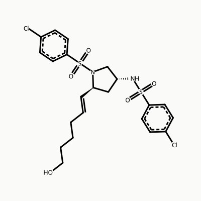 O=S(=O)(N[C@@H]1C[C@@H](C=CCCCCO)N(S(=O)(=O)c2ccc(Cl)cc2)C1)c1ccc(Cl)cc1